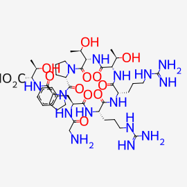 C[C@@H](O)[C@H](NC(=O)[C@@H]1CCCN1C(=O)[C@@H]1CCCN1C(=O)[C@@H](NC(=O)[C@@H](NC(=O)[C@H](CCCNC(=N)N)NC(=O)[C@H](CCCNC(=N)N)NC(=O)[C@H](Cc1ccccc1)NC(=O)CN)[C@@H](C)O)[C@@H](C)O)C(=O)O